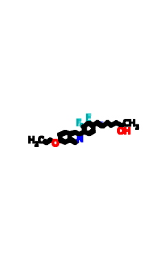 C=CCOc1ccc2cc(-c3ccc(/C=C/CCCC(C)O)c(F)c3F)ncc2c1